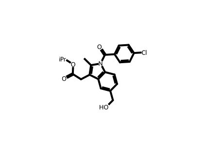 Cc1c(CC(=O)OC(C)C)c2cc(CO)ccc2n1C(=O)c1ccc(Cl)cc1